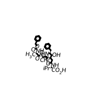 CC(C)[C@H](NC(=O)CCC(O)[C@H](Cc1ccccc1)NC(=O)[C@H](C)NC(=O)[C@H](C)NC(=O)OCc1ccccc1)C(=O)O